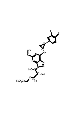 CCCSc1nc(N[C@@H]2C[C@H]2c2ccc(F)c(F)c2)c2nnn([C@H](O)[C@H](O)[C@H](CC)OCC(=O)OCC)c2n1